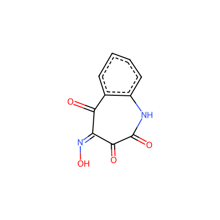 O=C1Nc2ccccc2C(=O)/C(=N/O)C1=O